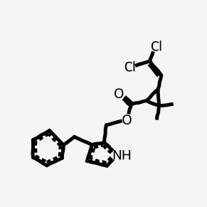 CC1(C)C(C=C(Cl)Cl)C1C(=O)OCc1[nH]ccc1Cc1ccccc1